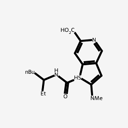 CCCCC(CC)NC(=O)[SH]1C(NC)=Cc2cnc(C(=O)O)cc21